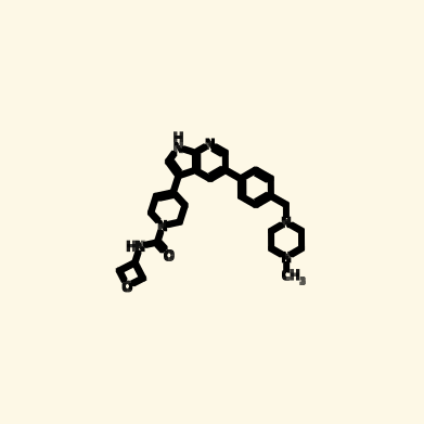 CN1CCN(Cc2ccc(-c3cnc4[nH]cc(C5=CCN(C(=O)NC6COC6)CC5)c4c3)cc2)CC1